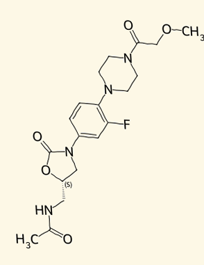 COCC(=O)N1CCN(c2ccc(N3C[C@H](CNC(C)=O)OC3=O)cc2F)CC1